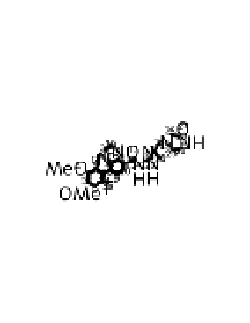 COc1cc(OC)c(I)c(-c2ccc(C(=O)Nc3nc(CN4CCNC(=O)C4)c[nH]3)c3nccnc23)c1F